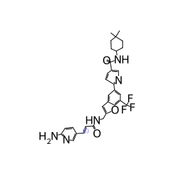 CC1(C)CCC(NC(=O)c2ccc(-c3cc(C(F)(F)F)c4oc(CNC(=O)/C=C/c5ccc(N)nc5)cc4c3)nc2)CC1